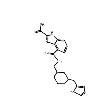 NC(=O)c1nc2c(C(=O)NCC3CCCN(Cc4ncc[nH]4)C3)cccc2[nH]1